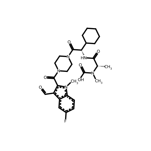 C[C@@H](C(=O)N[C@H](C(=O)N1CCN(C(=O)c2c(C=O)c3cc(F)ccc3n2C)CC1)C1CCCCC1)N(C)C(=O)O